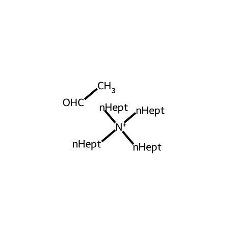 CC=O.CCCCCCC[N+](CCCCCCC)(CCCCCCC)CCCCCCC